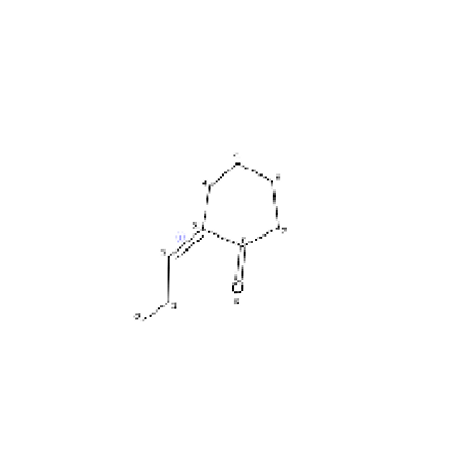 CC/C=C1/CCCCC1=O